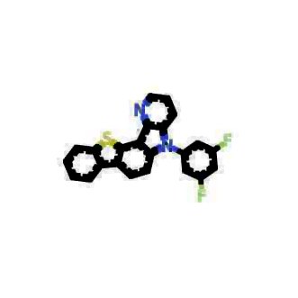 Fc1cc(F)cc(-n2c3cccnc3c3c4sc5ccccc5c4ccc32)c1